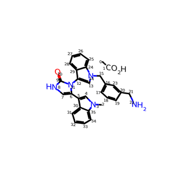 CC(=O)O.Cn1cc(-c2c[nH]c(=O)n2-c2cn(Cc3cccc(CN)c3)c3ccccc23)c2ccccc21